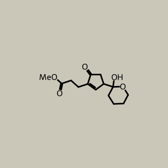 COC(=O)CCC1=CC(C2(O)CCCCO2)CC1=O